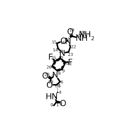 CC(=O)NC[C@H]1CN(c2cc(F)c(N3CCON(C(=O)NN)CC3)c(F)c2)C(=O)O1